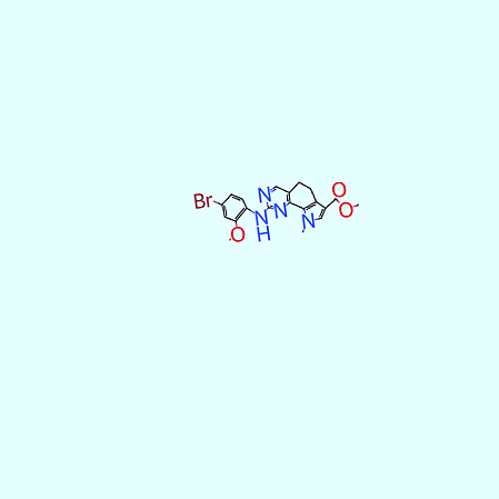 COC(=O)c1cn(C)c2c1CCc1cnc(Nc3ccc(Br)cc3OC)nc1-2